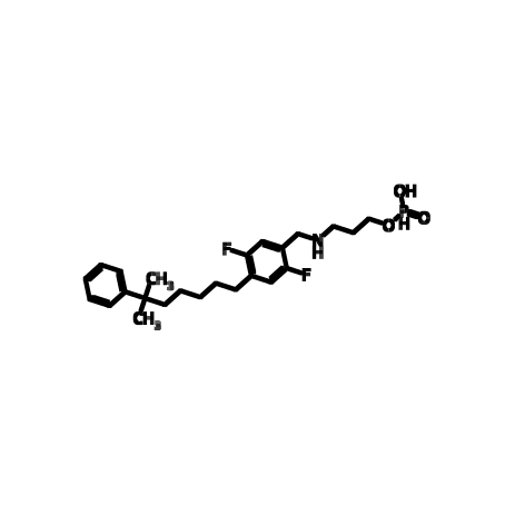 CC(C)(CCCCCc1cc(F)c(CNCCCO[PH](=O)O)cc1F)c1ccccc1